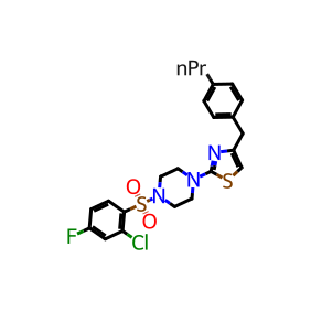 CCCc1ccc(Cc2csc(N3CCN(S(=O)(=O)c4ccc(F)cc4Cl)CC3)n2)cc1